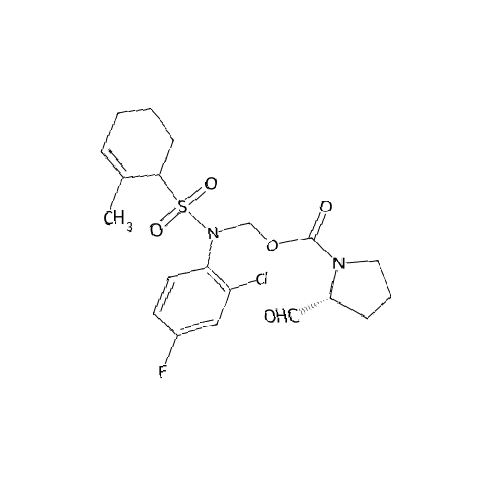 CC1=CCCCC1S(=O)(=O)N(COC(=O)N1CCC[C@@H]1C=O)c1ccc(F)cc1Cl